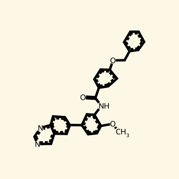 COc1ccc(-c2ccc3ncncc3c2)cc1NC(=O)c1ccc(OCc2ccccc2)cc1